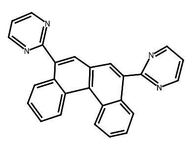 c1cnc(-c2cc3cc(-c4ncccn4)c4ccccc4c3c3ccccc23)nc1